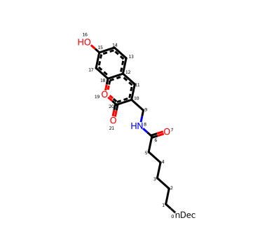 CCCCCCCCCCCCCCCC(=O)NCc1cc2ccc(O)cc2oc1=O